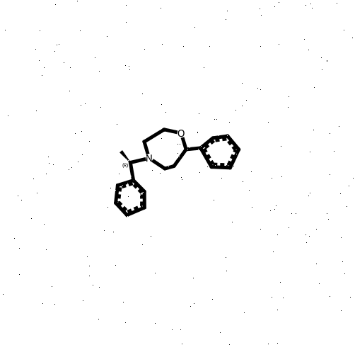 C[C@H](c1ccccc1)N1CCOC(c2ccccc2)CC1